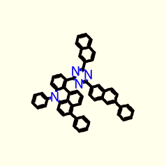 c1ccc(-c2ccc3cc(-c4nc(-c5ccc6ccccc6c5)nc(-c5cccc6c5-c5cccc7c(-c8ccccc8)ccc(c57)N6c5ccccc5)n4)ccc3c2)cc1